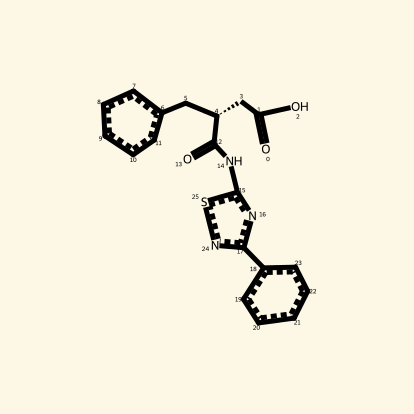 O=C(O)C[C@@H](Cc1ccccc1)C(=O)Nc1nc(-c2ccccc2)ns1